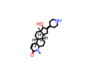 CN1C(=O)C=C[C@@]2(C)C1CC[C@@H]1[C@H]2CC[C@]2(C)C(O)C(=C3CCNCC3)C[C@@H]12